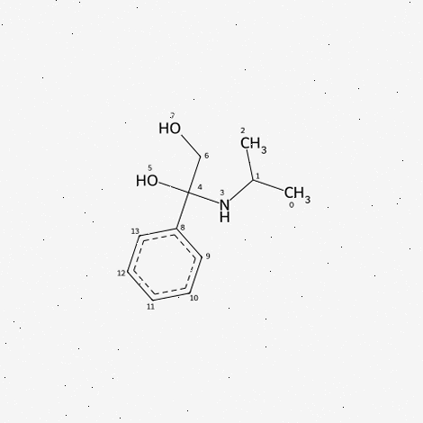 CC(C)NC(O)(CO)c1ccccc1